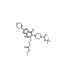 CCOC(=O)CCCc1[nH]c2nc(C3=CCOCC3)nn2c(=O)c1N1CCN(C(=O)OC(C)(C)C)CC1